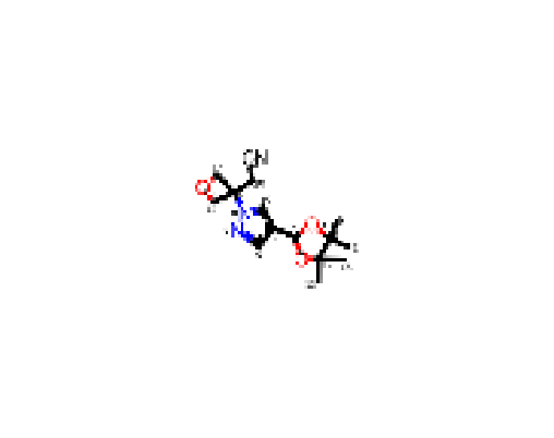 CC1(C)OC(c2cnn(C3(CC#N)COC3)c2)OC1(C)C